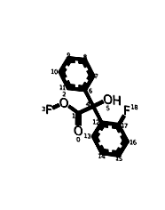 O=C(OF)C(O)(c1ccccc1)c1ccccc1F